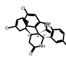 O=C1C[C@@H](C2C=CC=C(Cl)C2)[C@]2(C(=O)Nc3cc(Cl)ccc32)[C@H](c2cc(F)ccc2C(F)(F)F)N1